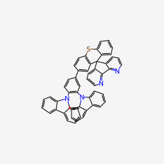 c1ccc2c(c1)Sc1ccc(-c3ccc(-n4c5ccccc5c5ccccc54)c(-n4c5ccccc5c5ccccc54)c3)cc1C21c2cccnc2-c2ncccc21